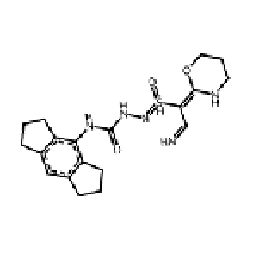 N=CC(=C1\NCCCO1)/[SH](=O)=N/NC(=O)Nc1c2c(cc3c1CCC3)CCC2